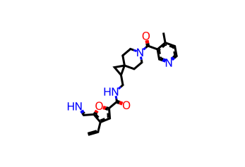 C=Cc1cc(C(=O)NCC2CC23CCN(C(=O)c2cnccc2C)CC3)oc1C=N